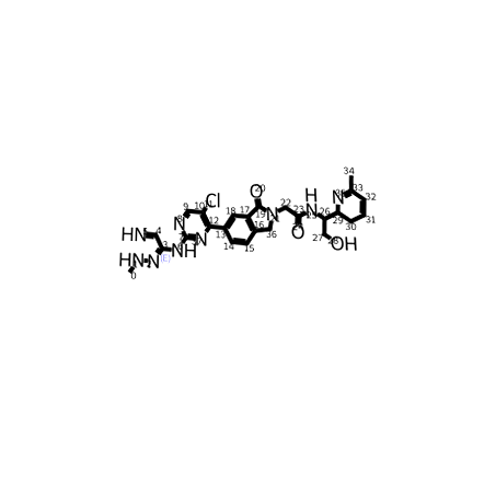 CN/N=C(\C=N)Nc1ncc(Cl)c(-c2ccc3c(c2)C(=O)N(CC(=O)NC(CO)C2CC=CC(C)=N2)C3)n1